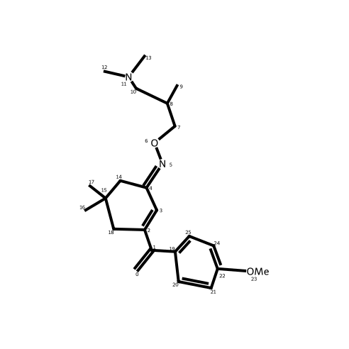 C=C(C1=C/C(=N/OCC(C)CN(C)C)CC(C)(C)C1)c1ccc(OC)cc1